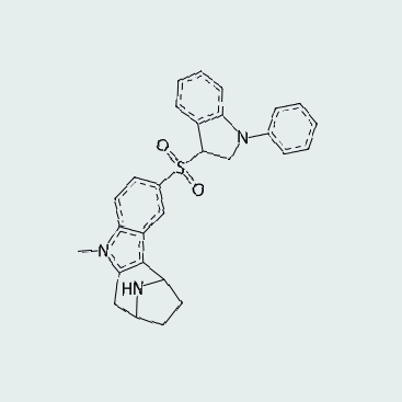 Cn1c2c(c3cc(S(=O)(=O)C4CN(c5ccccc5)c5ccccc54)ccc31)C1CCC(C2)N1